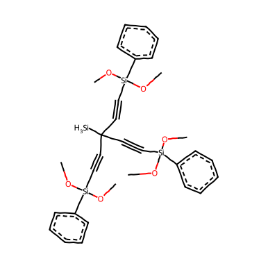 CO[Si](C#CC([SiH3])(C#C[Si](OC)(OC)c1ccccc1)C#C[Si](OC)(OC)c1ccccc1)(OC)c1ccccc1